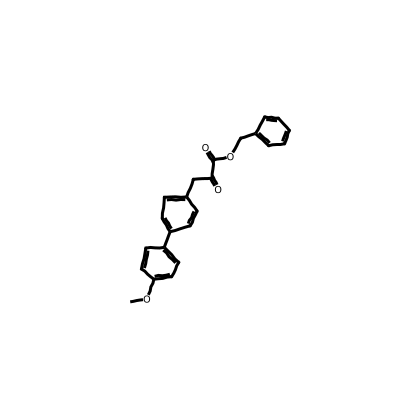 COc1ccc(-c2ccc(CC(=O)C(=O)OCc3ccccc3)cc2)cc1